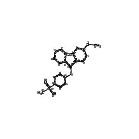 COc1ccc2c(c1)c1ccncc1n2Cc1ccc(S(C)(=N)=O)cc1